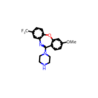 COc1ccc2c(c1)Oc1ccc(C(F)(F)F)cc1N=C2N1CCNCC1